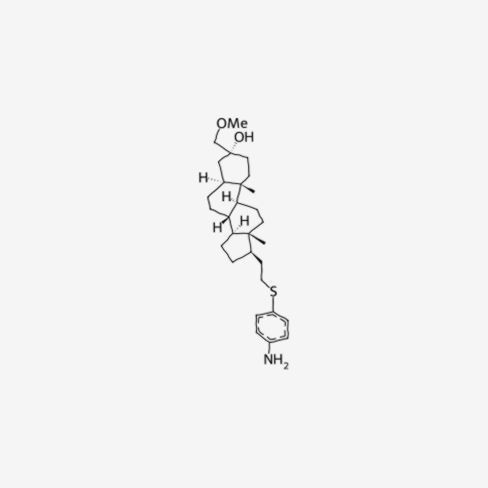 COC[C@@]1(O)CC[C@@]2(C)[C@@H](CC[C@@H]3[C@@H]2CC[C@]2(C)[C@@H](CCSc4ccc(N)cc4)CC[C@@H]32)C1